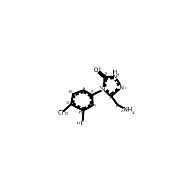 NCc1n[nH]c(=O)n1-c1ccc(Cl)c(F)c1